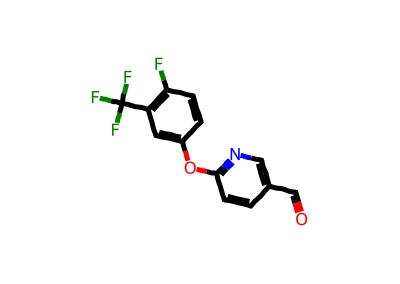 O=Cc1ccc(Oc2ccc(F)c(C(F)(F)F)c2)nc1